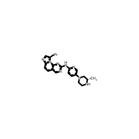 CC(C)c1cnc2ccc3cnc(Nc4ccc(N5CCN[C@@H](C)C5)cn4)nc3n12